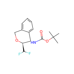 CC(C)(C)OC(=O)NC1c2ccccc2CO[C@@H]1C(F)F